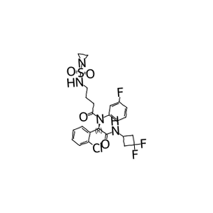 O=C(NC1CC(F)(F)C1)[C@@H](c1ccccc1Cl)N(C(=O)CCCNS(=O)(=O)N1CC1)c1cccc(F)c1